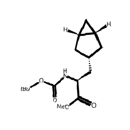 COC(=O)[C@H](C[C@@H]1C[C@@H]2C[C@@H]2C1)NC(=O)OC(C)(C)C